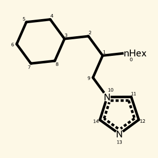 CCCCCCC(CC1CCCCC1)Cn1ccnc1